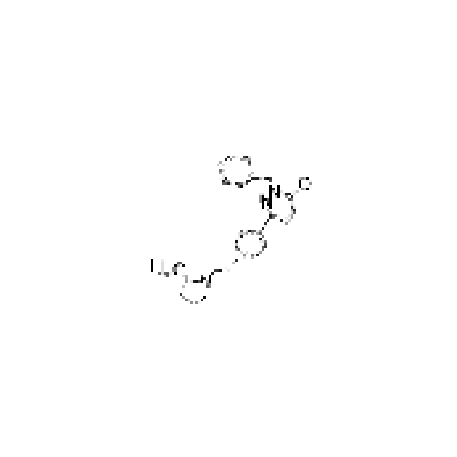 C[C@@H]1CCCN1CCc1ccc(-c2ccc(=O)n(Cc3ccccc3)n2)cc1